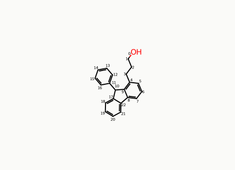 OCCCc1cccc2c1C(c1ccccc1)c1ccccc1-2